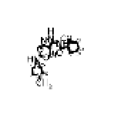 CN1CCN(NC(=O)Oc2n[nH]c(NC(=O)c3ccccc3Cl)c2Br)CC1